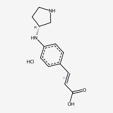 Cl.O=C(O)/C=C/c1ccc(N[C@@H]2CCNC2)cc1